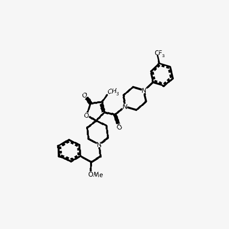 COC(CN1CCC2(CC1)OC(=O)C(C)=C2C(=O)N1CCN(c2cccc(C(F)(F)F)c2)CC1)c1ccccc1